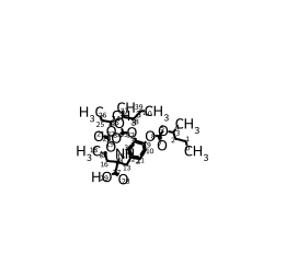 CCCC(C)OC(=O)Oc1ccc(CC(N)(C[C@H](C)OC(=O)OC(C)CC)C(=O)O)cc1OC(=O)OC(C)CCC